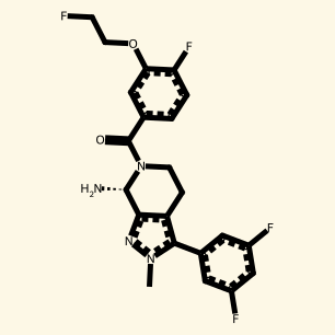 Cn1nc2c(c1-c1cc(F)cc(F)c1)CCN(C(=O)c1ccc(F)c(OCCF)c1)[C@H]2N